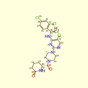 C[C@@H](Nc1nc(N2CCN(C(=O)[C@H]3CCCC(=O)N3)CC2)ncc1Cl)c1ccc(Cl)cc1Cl